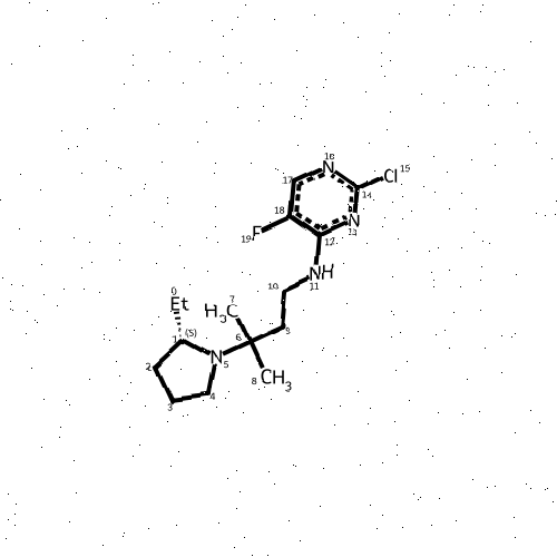 CC[C@H]1CCCN1C(C)(C)CCNc1nc(Cl)ncc1F